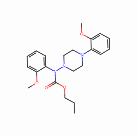 CCCOC(=O)N(c1ccccc1OC)N1CCN(c2ccccc2OC)CC1